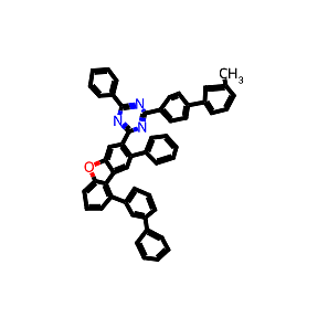 Cc1cccc(-c2ccc(-c3nc(-c4ccccc4)nc(-c4cc5oc6cccc(-c7cccc(-c8ccccc8)c7)c6c5cc4-c4ccccc4)n3)cc2)c1